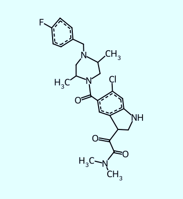 CC1CN(C(=O)c2cc3c(cc2Cl)NCC3C(=O)C(=O)N(C)C)C(C)CN1Cc1ccc(F)cc1